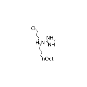 CCCCCCCCCCCCCCCCCl.N=C(N)N